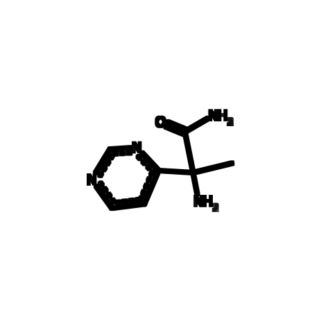 CC(N)(C(N)=O)c1ccncn1